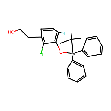 CC(C)(C)[Si](Oc1c(F)ccc(CCO)c1Cl)(c1ccccc1)c1ccccc1